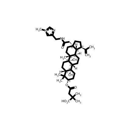 C=C(C)[C@@H]1CC[C@]2(CC(=O)NCc3cn(C)cn3)CC[C@]3(C)[C@H](CC[C@@H]4[C@@]5(C)CC[C@H](OC(=O)CC(C)(C)C(=O)O)C(C)(C)[C@@H]5CC[C@]43C)[C@@H]12